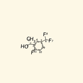 C[C@@H](O)c1cc(C(F)F)ccc1F